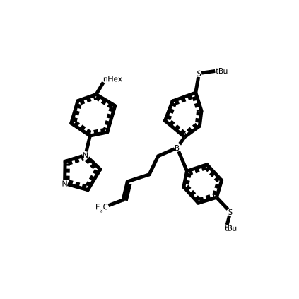 CC(C)(C)Sc1ccc(B(CCC=CC(F)(F)F)c2ccc(SC(C)(C)C)cc2)cc1.CCCCCCc1ccc(-n2ccnc2)cc1